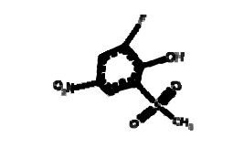 CS(=O)(=O)c1cc([N+](=O)[O-])cc(F)c1O